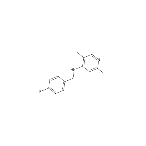 Cc1cnc(Cl)cc1NCc1ccc(F)cc1